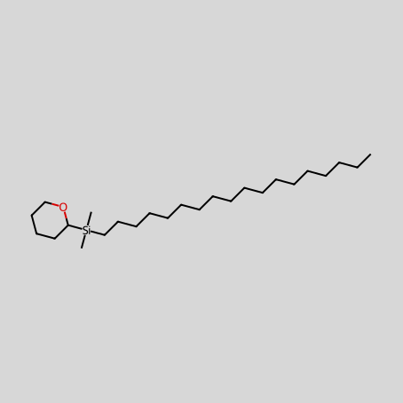 CCCCCCCCCCCCCCCCCC[Si](C)(C)C1CCCCO1